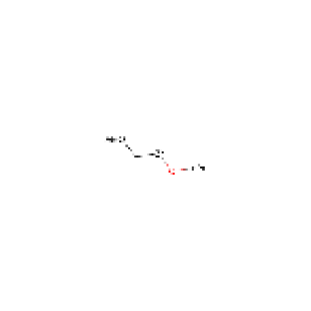 CCC[O][Zr][CH2]OC